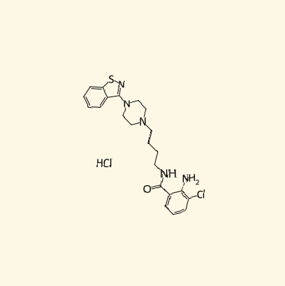 Cl.Nc1c(Cl)cccc1C(=O)NCCCCN1CCN(c2nsc3ccccc23)CC1